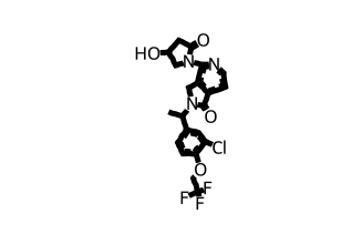 CC(c1ccc(OCC(F)(F)F)c(Cl)c1)N1Cc2c(ccnc2N2CC(O)CC2=O)C1=O